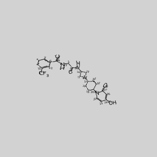 O=C(CNC(=O)c1cccc(C(F)(F)F)c1)NC1CN(C2CCC(n3ccc(O)cc3=O)CC2)C1